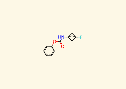 O=C(NC12CC(F)(C1)C2)Oc1ccccc1